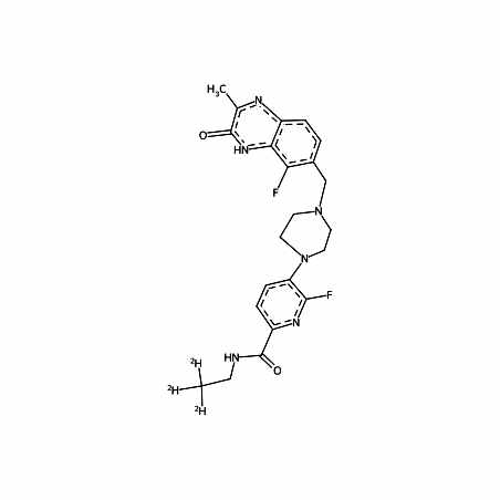 [2H]C([2H])([2H])CNC(=O)c1ccc(N2CCN(Cc3ccc4nc(C)c(=O)[nH]c4c3F)CC2)c(F)n1